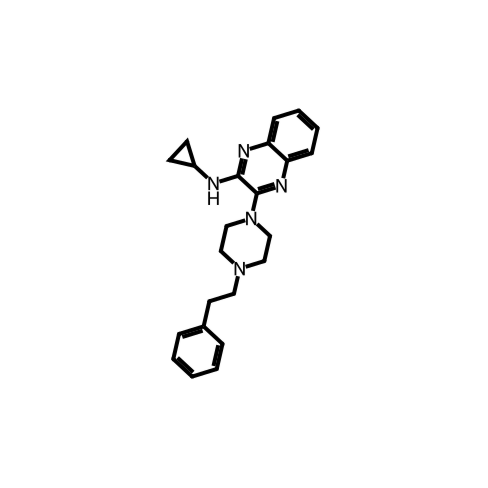 c1ccc(CCN2CCN(c3nc4ccccc4nc3NC3CC3)CC2)cc1